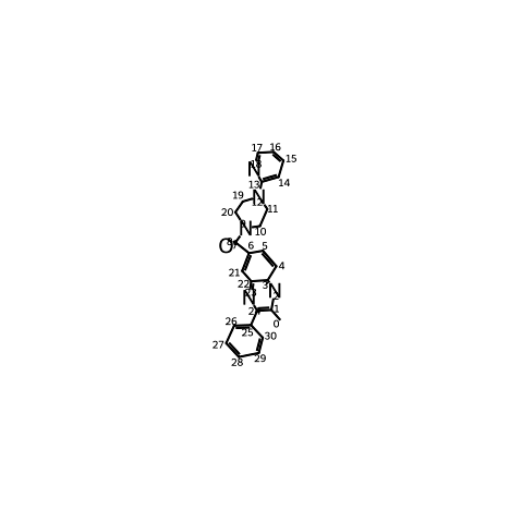 Cc1nc2ccc(C(=O)N3CCN(c4ccccn4)CC3)cc2nc1-c1ccccc1